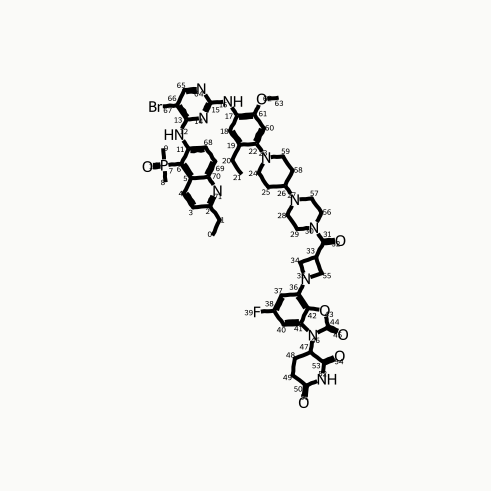 CCc1ccc2c(P(C)(C)=O)c(Nc3nc(Nc4cc(CC)c(N5CCC(N6CCN(C(=O)C7CN(c8cc(F)cc9c8oc(=O)n9C8CCC(=O)NC8=O)C7)CC6)CC5)cc4OC)ncc3Br)ccc2n1